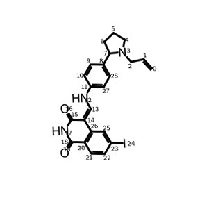 C=CCN1CCCC1c1ccc(NC=C2C(=O)NC(=O)c3ccc(I)cc32)cc1